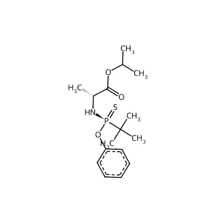 CC(C)OC(=O)[C@@H](C)N[P@](=S)(Oc1ccccc1)C(C)(C)C